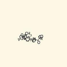 Cn1c(=O)n(CC2(C)CC2)c2ccc(N3CC4CCC3CN4C(=O)c3ccon3)nc21